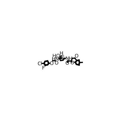 Cc1ccc2c(c1)C(=O)CC(C(=O)NC13CCC(NC(=O)COc4ccc(Cl)c(F)c4)(CC1)[C@@H](O)C3)O2